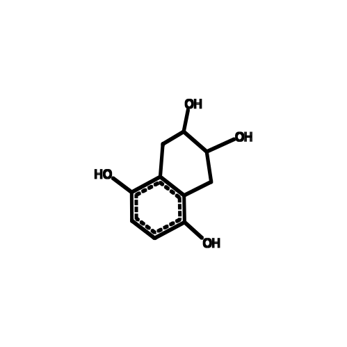 Oc1ccc(O)c2c1CC(O)C(O)C2